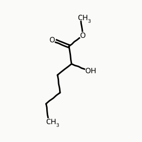 CCCCC(O)C(=O)OC